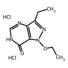 CCOn1nc(CC)c2nc[nH]c(=O)c21.Cl.Cl